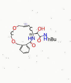 CCCCNC(=O)C(O)[C@@H]1C/C=C/COCCOCc2ccccc2C(=O)N1